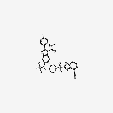 CNC(=O)c1c(-c2ccc(C)cc2)oc2cc(N(C)S(C)(=O)=O)c([C@H]3CCCN(S(=O)(=O)c4nc5c(C#N)cccc5o4)C3)cc12